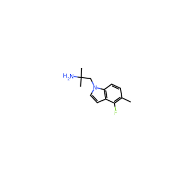 Cc1ccc2c(ccn2CC(C)(C)N)c1F